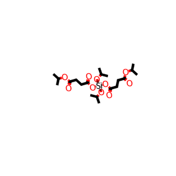 CC(C)OC(=O)CCC(=O)O[Si](OC(=O)CCC(=O)OC(C)C)(OC(C)C)OC(C)C